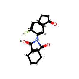 O=C1CCc2cc(F)c(N3C(=O)C4=C(CCCC4)C3=O)cc21